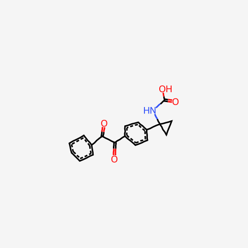 O=C(O)NC1(c2ccc(C(=O)C(=O)c3ccccc3)cc2)CC1